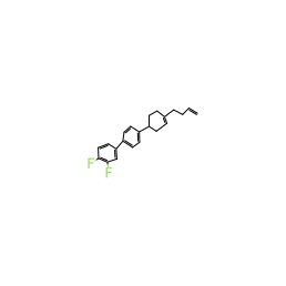 C=CCCC1=CCC(c2ccc(-c3ccc(F)c(F)c3)cc2)CC1